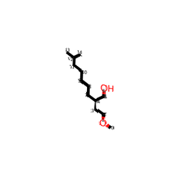 [CH2]OCC[C@H](CO)CCCCCC(C)C